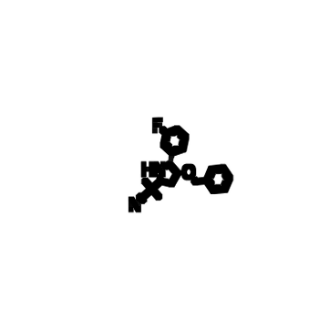 CC(C)(C#N)C1C[C@@H](OCc2ccccc2)[C@@H](c2cccc(F)c2)N1